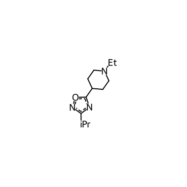 CCN1CCC(c2nc(C(C)C)no2)CC1